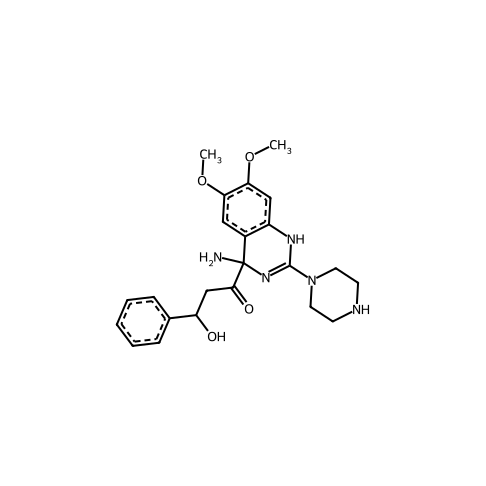 COc1cc2c(cc1OC)C(N)(C(=O)CC(O)c1ccccc1)N=C(N1CCNCC1)N2